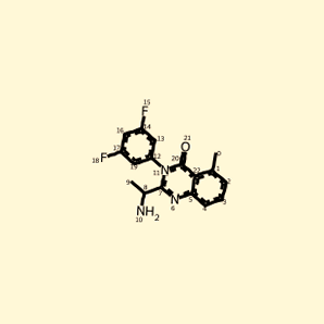 Cc1cccc2nc(C(C)N)n(-c3cc(F)cc(F)c3)c(=O)c12